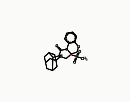 CS(=O)(=O)CCOC12CC3CC(C1)C(NC(=O)N1CCOc4ccccc41)C(C3)C2